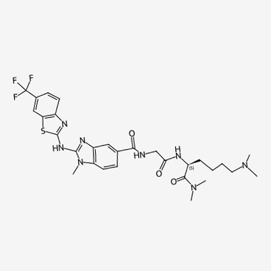 CN(C)CCCC[C@H](NC(=O)CNC(=O)c1ccc2c(c1)nc(Nc1nc3ccc(C(F)(F)F)cc3s1)n2C)C(=O)N(C)C